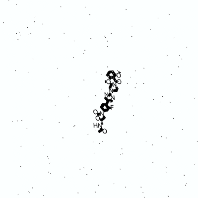 COc1cccc(OC)c1C(=O)N1CCN(c2ncc(-c3ccc(N4C[C@H](CNC(C)=O)OC4=O)cc3F)cn2)CC1